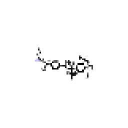 CC/N=C\NC(=O)c1ccc(C2=NOC(c3cc(Cl)c(Cl)c(C(F)(F)F)c3)(C(F)(F)F)C2)cc1